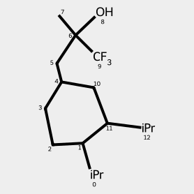 CC(C)C1CCC(CC(C)(O)C(F)(F)F)CC1C(C)C